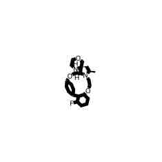 C[C@@H]1C[C@]2(COCCN2)[C@H]2COC3CCC(CC3)C3C(F)CCCC3OCCN12